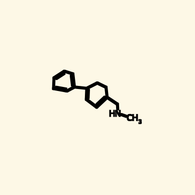 CNCC1=CC=C(c2ccccc2)CC1